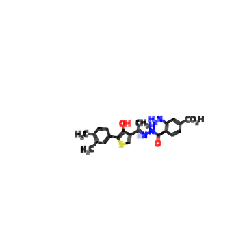 C/C(=N\NC(=O)c1ccc(C(=O)O)cc1N)c1csc(-c2ccc(C)c(C)c2)c1O